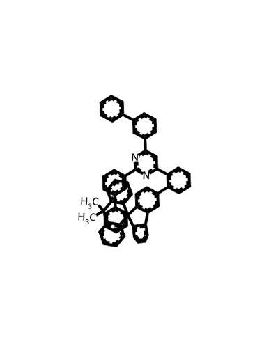 CC1(C)c2ccccc2C2(c3ccccc3-c3cc(-c4ccccc4-c4cc(-c5cccc(-c6ccccc6)c5)nc(-c5cccc(-c6ccccc6)c5)n4)ccc32)c2ccccc21